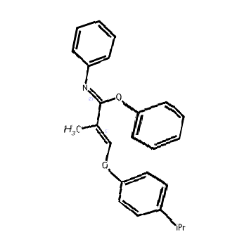 CC(=C\Oc1ccc(C(C)C)cc1)/C(=N/c1ccccc1)Oc1ccccc1